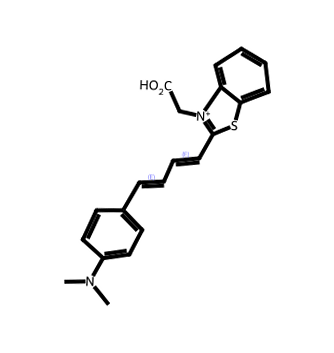 CN(C)c1ccc(/C=C/C=C/c2sc3ccccc3[n+]2CC(=O)O)cc1